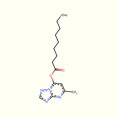 CCCCCCCCCCCCCCCCCC(=O)Oc1cc(C)nc2ncnn12